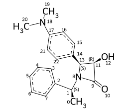 C[C@@H](c1ccccc1)N1C(=O)[C@H](O)[C@@H]1c1ccc(N(C)C)cc1